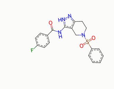 O=C(Nc1[nH]nc2c1CN(S(=O)(=O)c1ccccc1)CC2)c1ccc(F)cc1